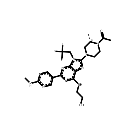 CNc1ncc(-c2nc(NCCO)c3nc(N4CCN(C(C)=O)[C@@H](C)C4)n(CC(F)(F)F)c3n2)cn1